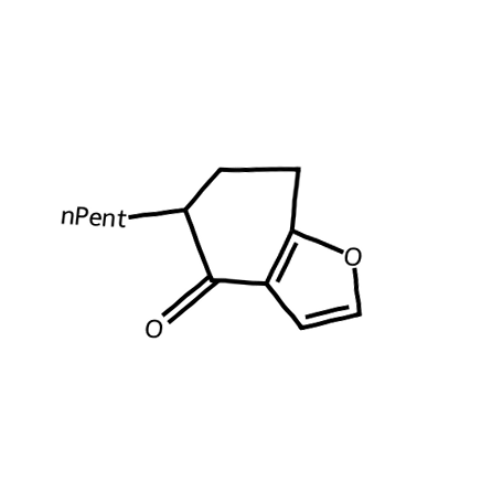 CCCCCC1CCc2occc2C1=O